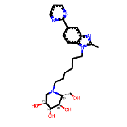 Cc1nc2cc(-c3ncccn3)ccc2n1CCCCCCN1C[C@H](O)[C@@H](O)[C@H](O)[C@H]1CO